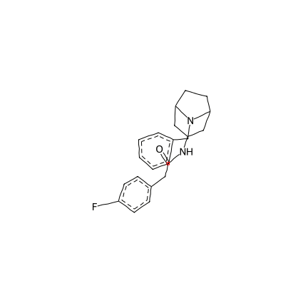 O=C(Cc1ccc(F)cc1)NC1CC2CCC(C1)N2Cc1ccccc1